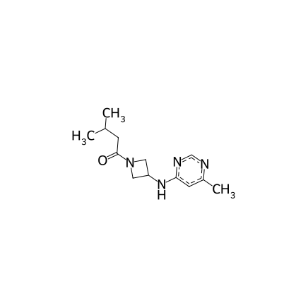 Cc1cc(NC2CN(C(=O)CC(C)C)C2)ncn1